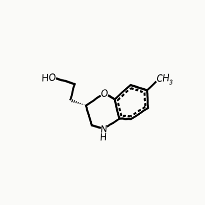 Cc1ccc2c(c1)O[C@@H](CCO)CN2